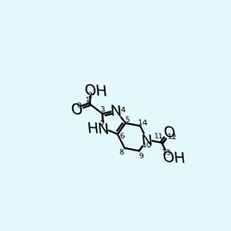 O=C(O)c1nc2c([nH]1)CCN(C(=O)O)C2